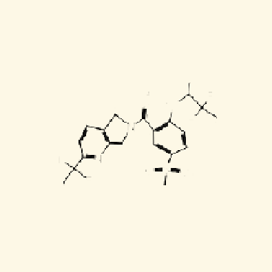 C[C@H](Oc1ccc(S(C)(=O)=O)cc1C(=O)N1Cc2ccc(C(C)(F)F)nc2C1)C(C)(F)F